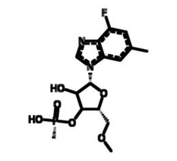 COC[C@H]1O[C@@H](n2cnc3c(F)cc(C)cc32)C(O)C1O[P@](C)(=O)O